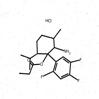 CCC(=O)OC1(c2cc(F)c(F)cc2F)C(N)C(C)CCC1C(C)C.Cl